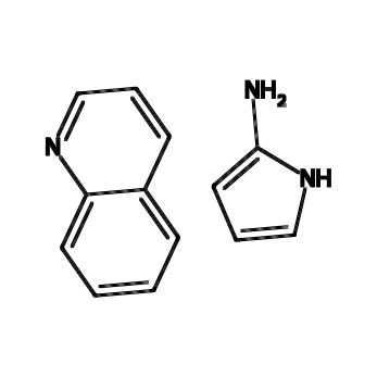 Nc1ccc[nH]1.c1ccc2ncccc2c1